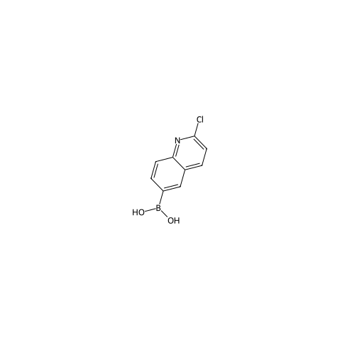 OB(O)c1ccc2nc(Cl)ccc2c1